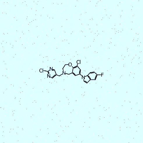 Fc1ccc2c(ccn2-c2cc(Cl)c3c(c2)CN(Cc2cnc(Cl)nc2)CCO3)c1